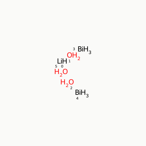 O.O.O.[BiH3].[BiH3].[LiH]